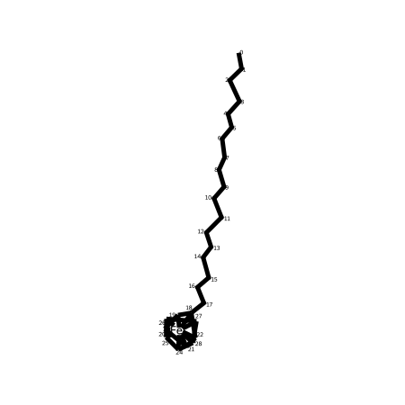 CCCCCCCCCCCCCCCCCC[C]12[CH]3[CH]4[CH]5[CH]1[Fe]45321678[CH]2[CH]1[CH]6[CH]7[CH]28